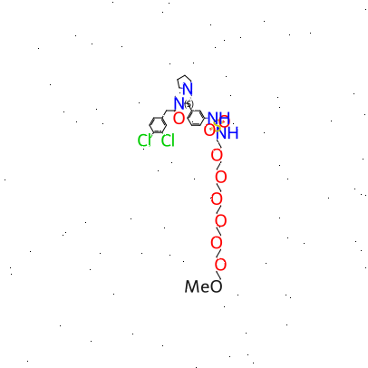 COCCOCCOCCOCCOCCOCCOCCNS(=O)(=O)Nc1cccc([C@@H](CN2CCCC2)N(C)C(=O)Cc2ccc(Cl)c(Cl)c2)c1